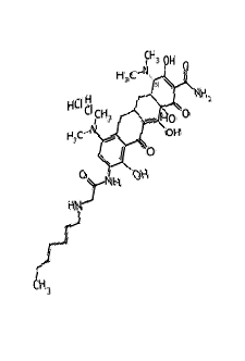 CCCCCCCNCC(=O)Nc1cc(N(C)C)c2c(c1O)C(=O)C1=C(O)C3(O)C(=O)C(C(N)=O)=C(O)[C@@H](N(C)C)C3CC1C2.Cl.Cl